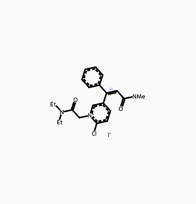 CCN(CC)C(=O)C[n+]1cc(/C(=C\C(=O)NC)c2ccccc2)ccc1Cl.[I-]